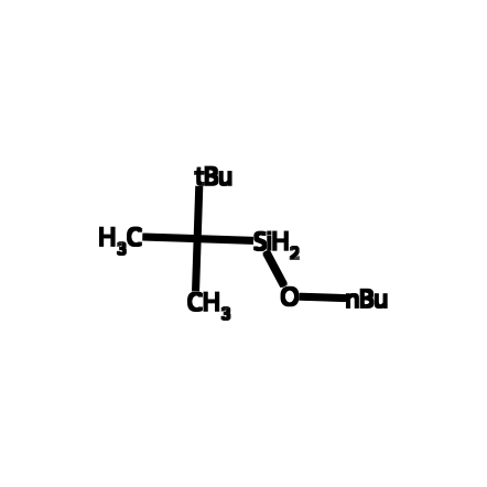 [CH2]CCCO[SiH2]C(C)(C)C(C)(C)C